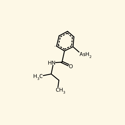 CCC(C)NC(=O)c1[c]cccc1[AsH2]